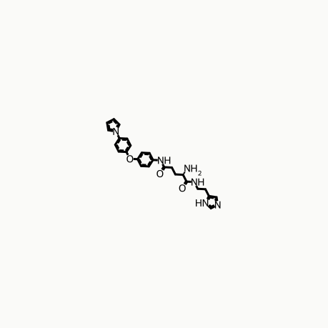 N[C@H](CCC(=O)Nc1ccc(Oc2ccc(-n3cccc3)cc2)cc1)C(=O)NCCc1cnc[nH]1